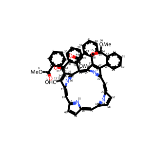 COC(=O)c1ccccc1C1=C(C=O)C2=CC3=NC(=CC4=NC(=CC5=NC(=C(c6ccccc6C(=O)OC)C1=N2)C(c1ccccc1C(=O)OC)=C5c1ccccc1C(=O)OC)C=C4)C=C3